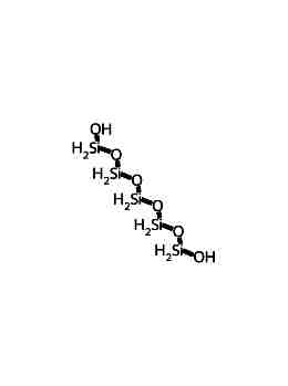 O[SiH2]O[SiH2]O[SiH2]O[SiH2]O[SiH2]O